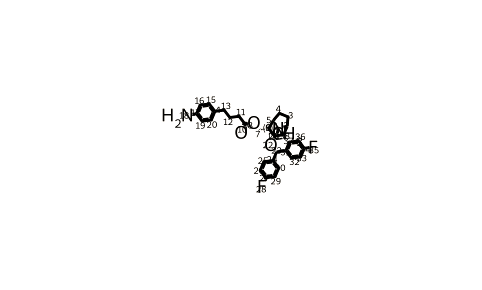 CN1C2CCC1[C@@H](COC(=O)CCCc1ccc(N)cc1)[C@@H](OC(c1ccc(F)cc1)c1ccc(F)cc1)C2